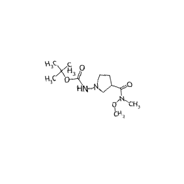 CON(C)C(=O)C1CCN(NC(=O)OC(C)(C)C)C1